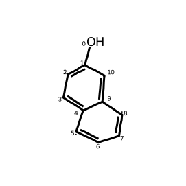 Oc1ccc2[c]cc[c]c2c1